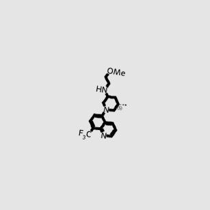 COCCNC1C[C@H](C)CN(c2ccc(C(F)(F)F)c3ncccc23)C1